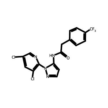 O=C(Cc1ccc(C(F)(F)F)cc1)Nc1ccnn1-c1ncc(Cl)cc1Cl